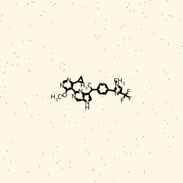 COc1ncnc(C2CC2)c1-c1ncc2[nH]cc(C(C)c3ccc(-c4nc(C(F)(F)F)cn4C)cc3)c2n1